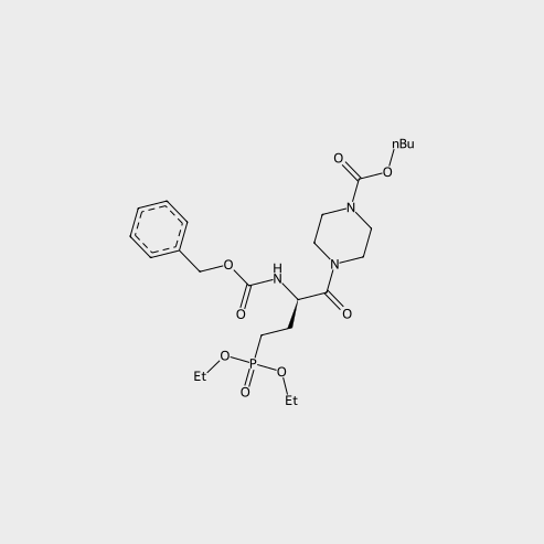 CCCCOC(=O)N1CCN(C(=O)[C@@H](CCP(=O)(OCC)OCC)NC(=O)OCc2ccccc2)CC1